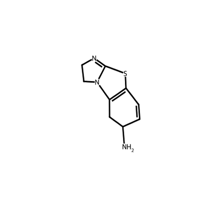 NC1C=CC2=C(C1)N1CCN=C1S2